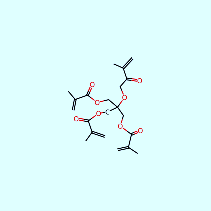 C=C(C)C(=O)COC(COC(=O)C(=C)C)(COC(=O)C(=C)C)COC(=O)C(=C)C